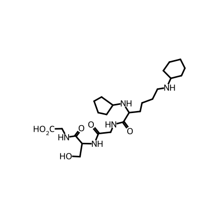 O=C(O)CNC(=O)C(CO)NC(=O)CNC(=O)C(CCCCNC1CCCCC1)NC1CCCC1